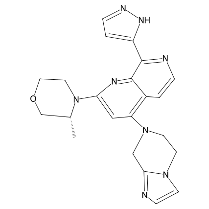 C[C@@H]1COCCN1c1cc(N2CCn3ccnc3C2)c2ccnc(-c3ccn[nH]3)c2n1